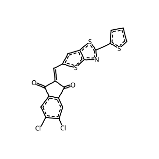 O=C1C(=Cc2cc3sc(-c4cccs4)nc3s2)C(=O)c2cc(Cl)c(Cl)cc21